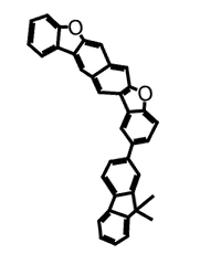 CC1(C)c2ccccc2-c2ccc(-c3ccc4oc5cc6cc7oc8ccccc8c7cc6cc5c4c3)cc21